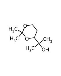 CC1(C)OCCC(C(C)(C)O)O1